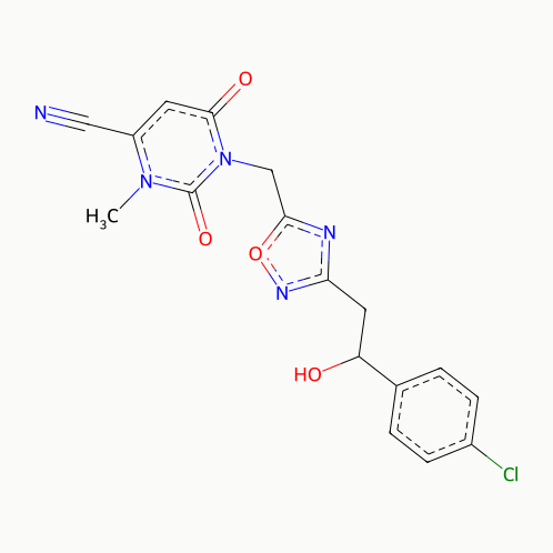 Cn1c(C#N)cc(=O)n(Cc2nc(CC(O)c3ccc(Cl)cc3)no2)c1=O